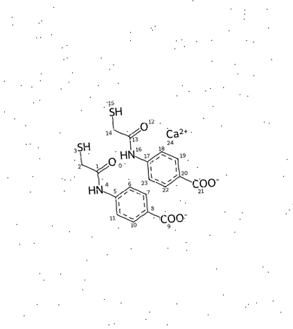 O=C(CS)Nc1ccc(C(=O)[O-])cc1.O=C(CS)Nc1ccc(C(=O)[O-])cc1.[Ca+2]